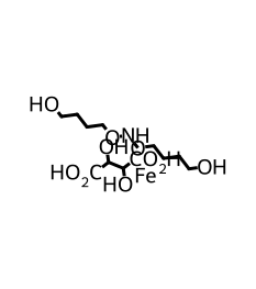 O=C(O)C(O)C(O)C(=O)O.OCCCCONOCCCCO.[Fe]